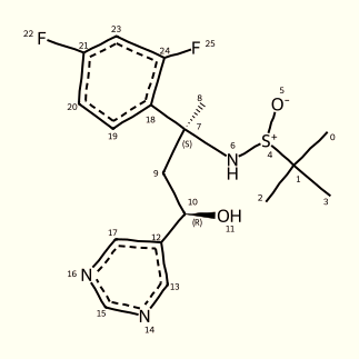 CC(C)(C)[S+]([O-])N[C@@](C)(C[C@@H](O)c1cncnc1)c1ccc(F)cc1F